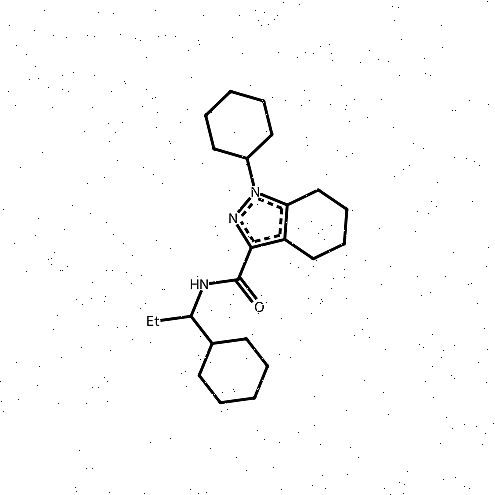 CCC(NC(=O)c1nn(C2CCCCC2)c2c1CCCC2)C1CCCCC1